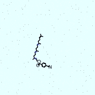 CC(C)=CCC/C(C)=C/CC/C(C)=C/CC/C(C)=C/COC(=O)c1ccc(C#N)cc1